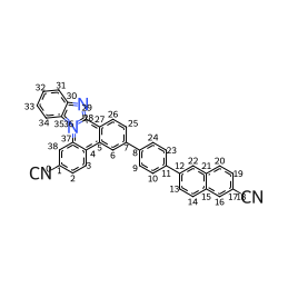 [C-]#[N+]c1ccc2c3cc(-c4ccc(-c5ccc6cc(C#N)ccc6c5)cc4)ccc3c3nc4ccccc4n3c2c1